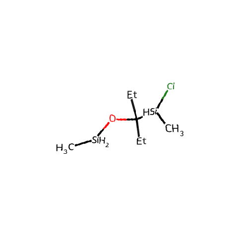 CCC(CC)(O[SiH2]C)[SiH](C)Cl